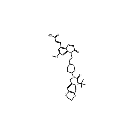 COc1cc(C=CC(=O)O)c2ccc(=O)n(CCN3CCC(N(Cc4ccc5c(c4)OCCO5)C(=O)OC(C)(C)C)CC3)c2c1